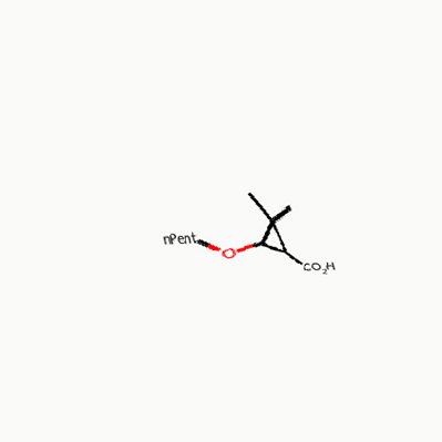 CCCCCOC1C(C(=O)O)C1(C)C